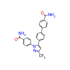 NC(=O)c1ccc(-c2ccc(-c3cc(C(F)(F)F)nn3-c3ccc(C(N)=O)cc3)cc2)cc1